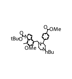 CCCCN1CCN(Cc2c(OC)cc(C)c3c2ccn3C(=O)OC(C)(C)C)C(c2ccc(C(=O)OC)cc2)C1